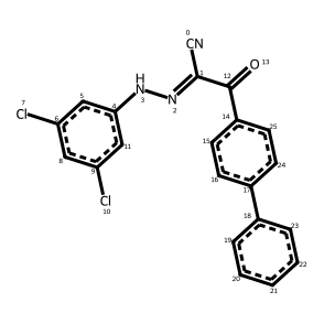 N#C/C(=N\Nc1cc(Cl)cc(Cl)c1)C(=O)c1ccc(-c2ccccc2)cc1